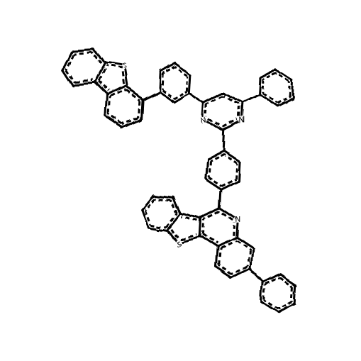 c1ccc(-c2ccc3c(c2)nc(-c2ccc(-c4nc(-c5ccccc5)cc(-c5cccc(-c6cccc7c6sc6ccccc67)c5)n4)cc2)c2c4ccccc4sc32)cc1